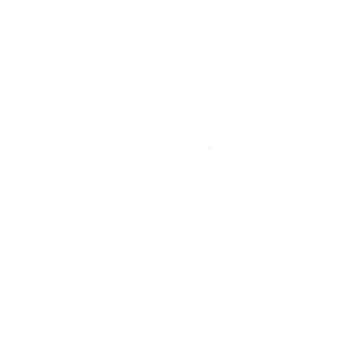 [CH2]OC/C=C/c1ccc(OC(F)(F)F)cc1Cl